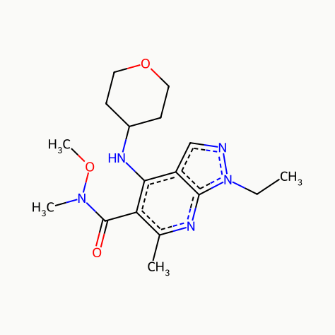 CCn1ncc2c(NC3CCOCC3)c(C(=O)N(C)OC)c(C)nc21